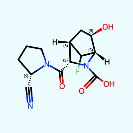 N#C[C@@H]1CCCN1C(=O)[C@@H]1[C@@H]2C[C@@H](O)[C@@H](C2F)N1C(=O)O